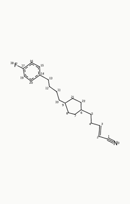 N#CC=CCCC1CCC(CCCCc2ccc(F)cc2)CC1